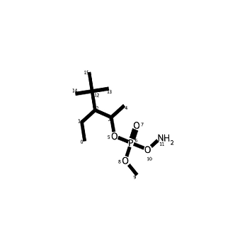 CCC(C(C)OP(=O)(OC)ON)C(C)(C)C